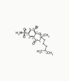 CC(C)CCCC1(C)C[S+]([O-])c2cc(S(N)(=O)=O)cc(Br)c2O1